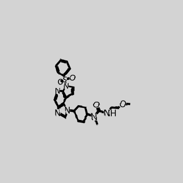 COCCNC(=O)N(C)C1CCC(n2cnc3cnc4c(ccn4S(=O)(=O)c4ccccc4)c32)CC1